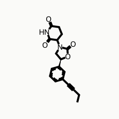 CCC#Cc1cccc([C@H]2CN(C3CCC(=O)NC3=O)C(=O)O2)c1